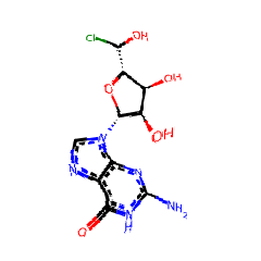 Nc1nc2c(ncn2[C@@H]2O[C@H](C(O)Cl)[C@@H](O)[C@H]2O)c(=O)[nH]1